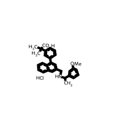 COc1cccc(C(C)NCc2cc(-c3cccc(C(C)(C)C(=O)O)c3)c3ccccc3c2)c1.Cl